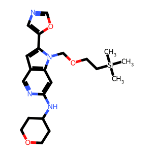 C[Si](C)(C)CCOCn1c(-c2cnco2)cc2cnc(NC3CCOCC3)cc21